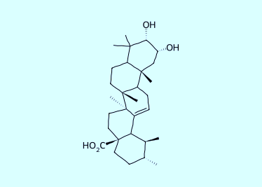 C[C@@H]1CC[C@]2(C(=O)O)CC[C@]3(C)C(=CCC4[C@@]5(C)C[C@@H](O)[C@@H](O)C(C)(C)C5CC[C@]43C)C2[C@H]1C